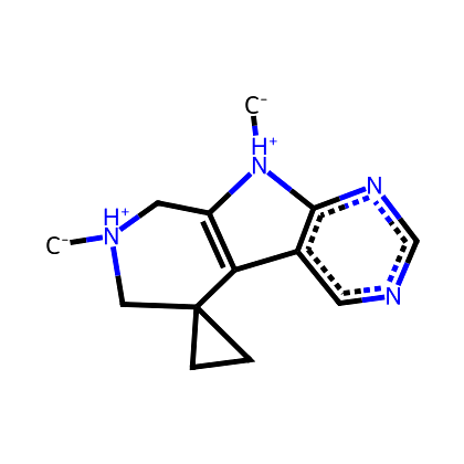 [CH2-][NH+]1CC2=C(c3cncnc3[NH+]2[CH2-])C2(CC2)C1